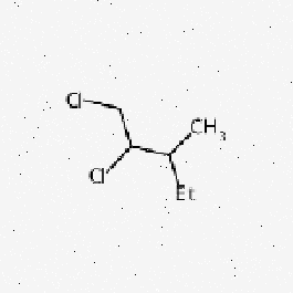 CCC(C)C(Cl)CCl